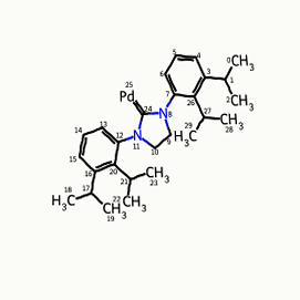 CC(C)c1cccc(N2CCN(c3cccc(C(C)C)c3C(C)C)[C]2=[Pd])c1C(C)C